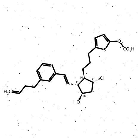 C=CCCc1cccc(C=C[C@@H]2[C@@H](CCCc3ccc(OC(=O)O)s3)[C@H](Cl)C[C@H]2O)c1